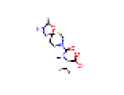 CC1NCC2(CCN(C(=O)N(C)[C@H](C(=O)O)C(C)C)CC2)O1